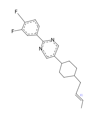 C/C=C/CC1CCC(c2cnc(-c3ccc(F)c(F)c3)nc2)CC1